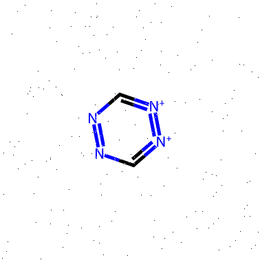 C1=[N+]=[N+]=CN=N1